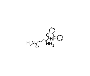 NC(=O)CCC[C@H](N)C(=O)NC(c1ccccc1)c1ccccc1